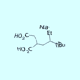 CCCCC(CC)CC(CC(=O)O)C(=O)O.[Na]